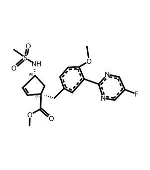 COC(=O)[C@@]1(Cc2ccc(OC)c(-c3ncc(F)cn3)c2)C=C[C@H](NS(C)(=O)=O)C1